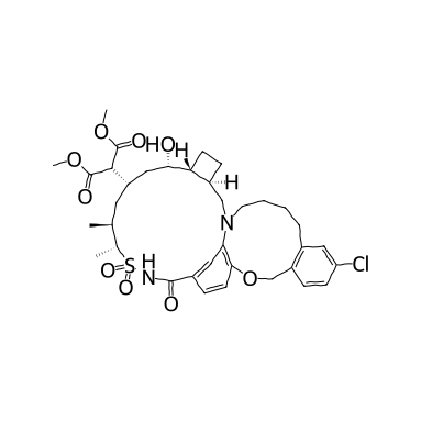 COC(=O)C(C(=O)OC)[C@H]1C[C@H](C)[C@@H](C)S(=O)(=O)NC(=O)c2ccc3c(c2)N(CCCCc2cc(Cl)ccc2CO3)C[C@@H]2CC[C@H]2[C@@H](O)C1